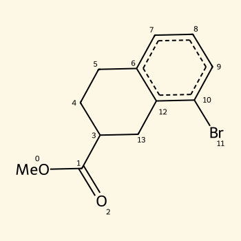 COC(=O)C1CCc2cccc(Br)c2C1